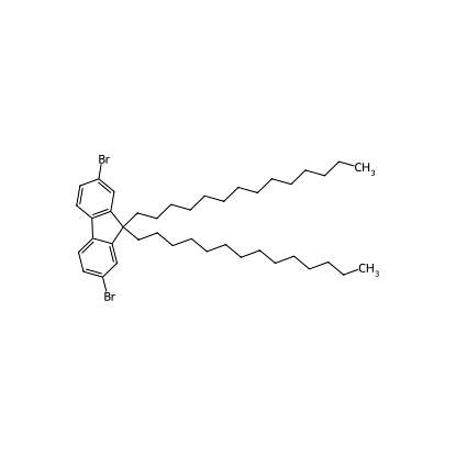 CCCCCCCCCCCCCCC1(CCCCCCCCCCCCCC)c2cc(Br)ccc2-c2ccc(Br)cc21